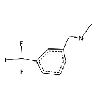 C[N]Cc1cccc(C(F)(F)F)c1